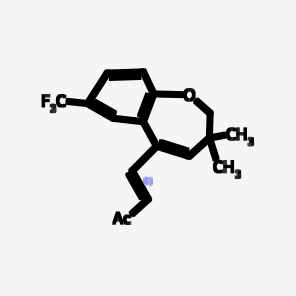 CC(=O)/C=C/C1=CC(C)(C)COc2ccc(C(F)(F)F)cc21